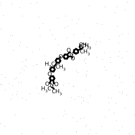 CCC(C)N1C(=O)c2ccc(Oc3ccc(C(C)(C)c4ccc(Oc5ccc6c(c5)C(=O)N(c5ccc(C(C)(CC)CC)cc5)C6=O)cc4)cc3)cc2C1=O